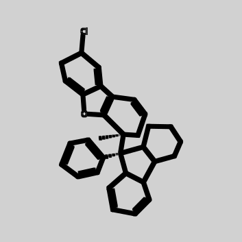 C[C@@]1([C@]2(c3ccccc3)C3C=CC=CC3C3CCCCC32)CC=Cc2c1oc1c2=CC(Cl)CC=1